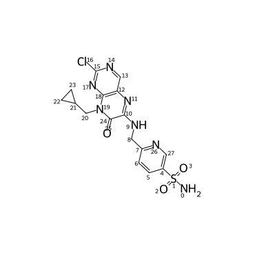 NS(=O)(=O)c1ccc(CNc2nc3cnc(Cl)nc3n(CC3CC3)c2=O)nc1